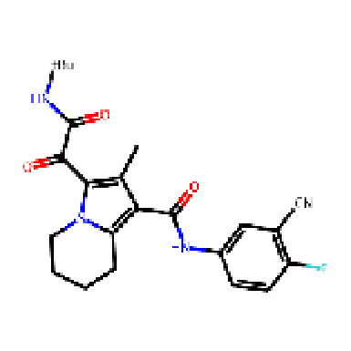 Cc1c(C(=O)Nc2ccc(F)c(C#N)c2)c2n(c1C(=O)C(=O)NC(C)(C)C)CCCC2